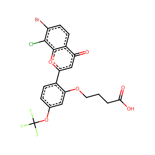 O=C(O)CCCOc1cc(OC(F)(F)F)ccc1-c1cc(=O)c2ccc(Br)c(Cl)c2o1